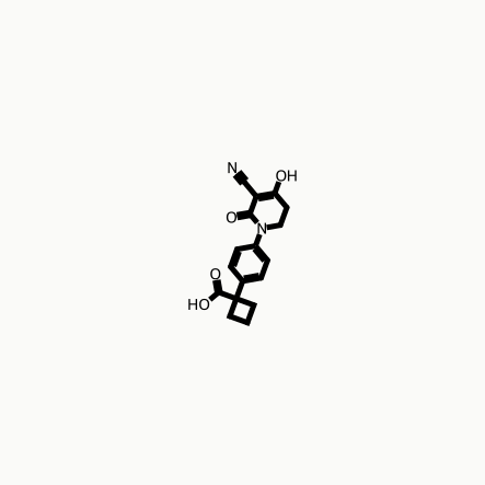 N#CC1=C(O)CCN(c2ccc(C3(C(=O)O)CCC3)cc2)C1=O